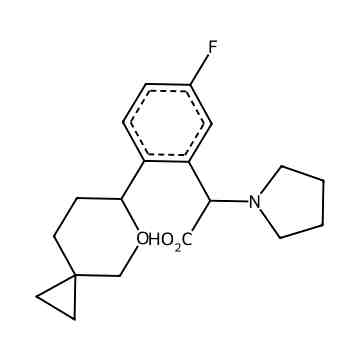 O=C(O)C(c1cc(F)ccc1C1CCC2(CC2)CO1)N1CCCC1